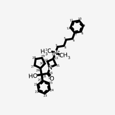 C[N+](C)(CCCCc1ccccc1)C1CN(C(=O)C(O)(c2ccccc2)C2CCCC2)C1